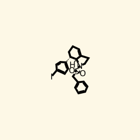 O=S(=O)(Cc1ccccc1)N1CCC2=CCC[C@@H](c3ccc(I)cc3)[C@@H]21